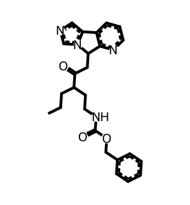 CCCC(CCNC(=O)OCc1ccccc1)C(=O)CC1c2ncccc2-c2cncn21